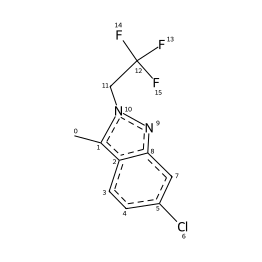 Cc1c2ccc(Cl)cc2nn1CC(F)(F)F